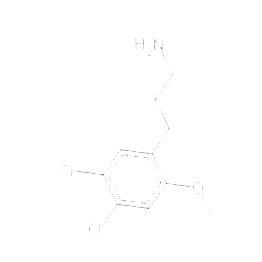 COc1cc(Cl)c(Cl)cc1CCCN